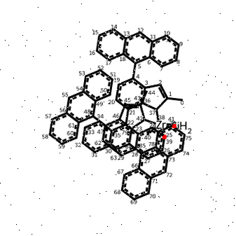 CC1=Cc2c(-c3c4ccccc4cc4ccccc34)ccc(-c3c4ccccc4cc4ccccc34)c2[CH]1[Zr]([CH3])([CH3])(=[SiH2])[CH]1C(C)=Cc2c(-c3c4ccccc4cc4ccccc34)ccc(-c3c4ccccc4cc4ccccc34)c21